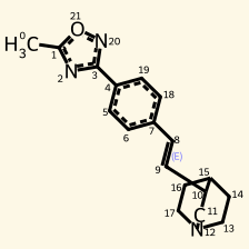 Cc1nc(-c2ccc(/C=C/C3CN4CCC3CC4)cc2)no1